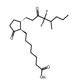 CCCC(C)C(F)(F)C(=O)CC[C@H]1CCC(=O)[C@@H]1CCCCCCC(=O)O